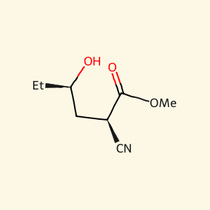 CC[C@@H](O)C[C@H](C#N)C(=O)OC